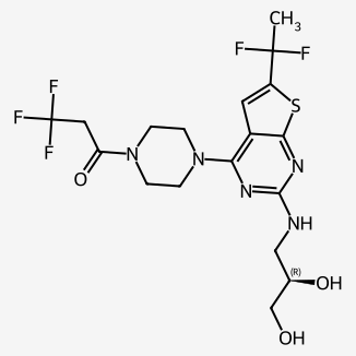 CC(F)(F)c1cc2c(N3CCN(C(=O)CC(F)(F)F)CC3)nc(NC[C@@H](O)CO)nc2s1